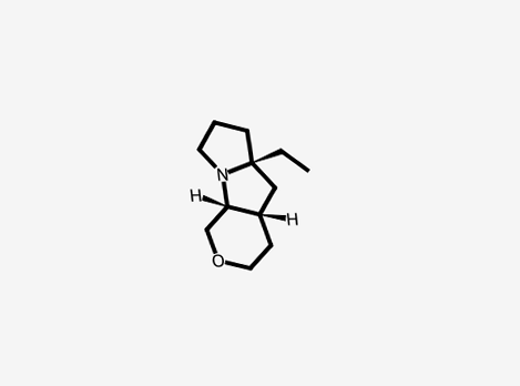 CC[C@]12CCCN1[C@H]1COCC[C@H]1C2